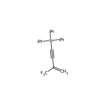 C=C(C#C[Si](C(C)C)(C(C)C)C(C)C)C(F)(F)F